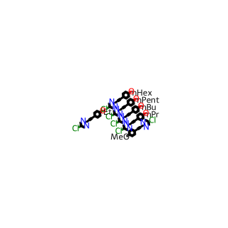 CCCCCCOc1ccc(C#Cc2ncc(Cl)cn2)cc1.CCCCCOc1ccc(C#Cc2ncc(Cl)cn2)cc1.CCCCOc1ccc(C#Cc2ncc(Cl)cn2)cc1.CCCOc1ccc(C#Cc2ncc(Cl)cn2)cc1.CCOc1ccc(C#Cc2ncc(Cl)cn2)cc1.COc1ccc(C#Cc2ncc(Cl)cn2)cc1